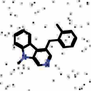 Cc1ccccc1Cc1cncc2c1c1ccccc1n2C